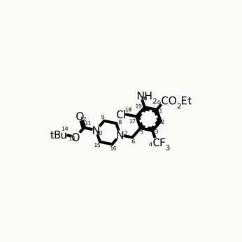 CCOC(=O)c1cc(C(F)(F)F)c(CN2CCN(C(=O)OC(C)(C)C)CC2)c(Cl)c1N